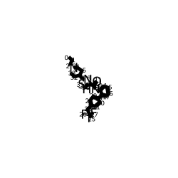 CCCN1CCC(c2nc(C(=O)Nc3ccccc3-c3ccc(CC(F)(F)F)cc3)cs2)CC1